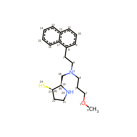 COCCCN(CCc1cccc2ccccc12)C[C@H]1NCC[C@H]1S